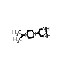 CC(C)N1CCN(C2CNCNC2)CC1